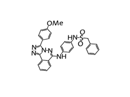 COc1ccc(-c2nnc3c4ccccc4c(Nc4ccc(NS(=O)(=O)Cc5ccccc5)cc4)nn23)cc1